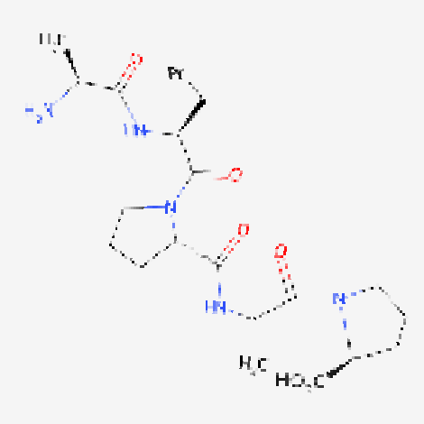 CC(C)C[C@H](NC(=O)[C@H](C)N)C(=O)N1CCC[C@H]1C(=O)N[C@@H](C)C(=O)N1CCC[C@H]1C(=O)O